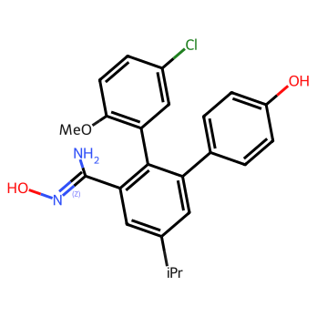 COc1ccc(Cl)cc1-c1c(/C(N)=N/O)cc(C(C)C)cc1-c1ccc(O)cc1